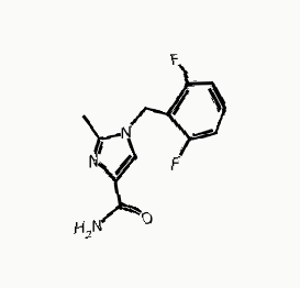 Cc1nc(C(N)=O)cn1Cc1c(F)cccc1F